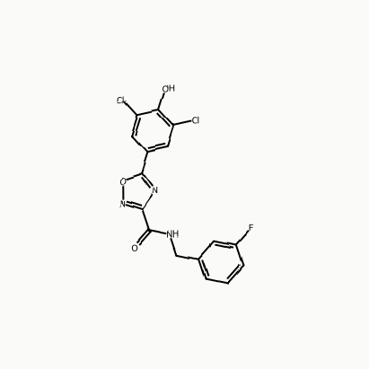 O=C(NCc1cccc(F)c1)c1noc(-c2cc(Cl)c(O)c(Cl)c2)n1